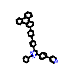 c1ccc(-c2nc(-c3ccc(-c4ccncc4)cc3)cc(-c3ccc(-c4ccc(-c5ccc6c7ccccc7c7ccccc7c6c5)cc4)cc3)n2)cc1